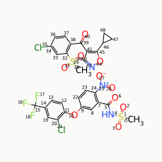 CS(=O)(=O)NC(=O)c1cc(Oc2ccc(C(F)(F)F)cc2Cl)ccc1[N+](=O)[O-].CS(=O)(=O)c1cc(Cl)ccc1C(=O)c1cnoc1C1CC1